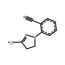 N#Cc1ccccc1N1CCC(N)=N1